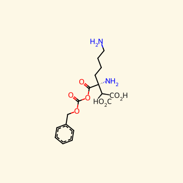 NCCCC[C@](N)(C(=O)OC(=O)OCc1ccccc1)C(C(=O)O)C(=O)O